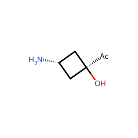 CC(=O)[C@]1(O)C[C@H](N)C1